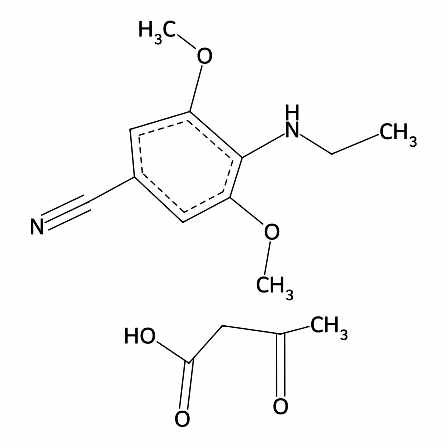 CC(=O)CC(=O)O.CCNc1c(OC)cc(C#N)cc1OC